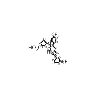 O=C(O)c1cccc(N2C(=O)C(=Cc3cc(-c4cccc(C(F)(F)F)c4)c[nH]3)c3ccc(C(F)(F)F)cc32)c1